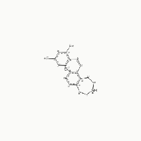 Fc1ccc(/C=C\c2c(Cl)ccc3c2CCNCC3)c(F)c1